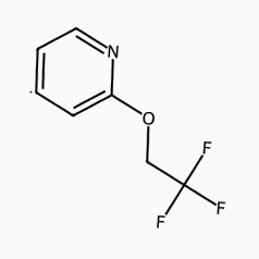 FC(F)(F)COc1c[c]ccn1